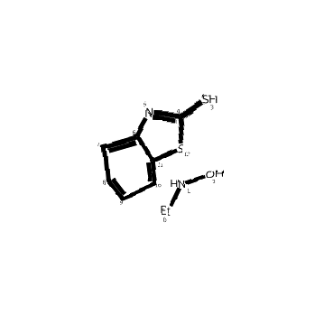 CCNO.Sc1nc2ccccc2s1